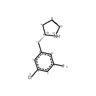 Fc1cc(Cl)cc(C[C@@H]2CCCN2)c1